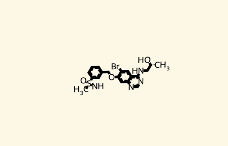 C[C@@H](O)CNc1ncnc2cc(OCc3cccc(S(C)(=N)=O)c3)c(Br)cc12